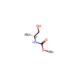 CC(C)(C)OC(=O)N[C@@H](CO)C(C)(C)C